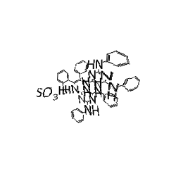 O=S(=O)(O)c1ccccc1C(NC1=NC(Nc2ccccc2)=NC(Nc2ccccc2)N1)=C(NC1=NC(Nc2ccccc2)=NC(Nc2ccccc2)N1)c1ccccc1